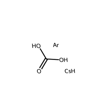 O=C(O)O.[Ar].[CsH]